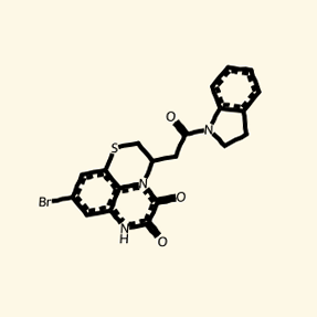 O=C(CC1CSc2cc(Br)cc3[nH]c(=O)c(=O)n1c23)N1CCc2ccccc21